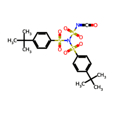 CC(C)(C)c1ccc(S(=O)(=O)N(S(=O)(=O)N=C=O)S(=O)(=O)c2ccc(C(C)(C)C)cc2)cc1